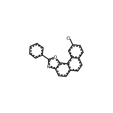 Clc1ccc2ccc3ccc4nc(-c5ccccc5)oc4c3c2c1